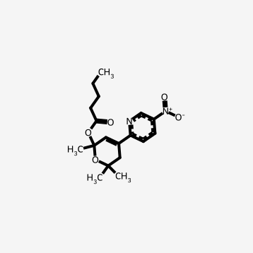 CCCCC(=O)OC1(C)C=C(c2ccc([N+](=O)[O-])cn2)CC(C)(C)O1